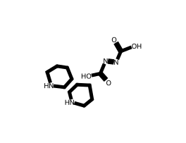 C1CCNCC1.C1CCNCC1.O=C(O)N=NC(=O)O